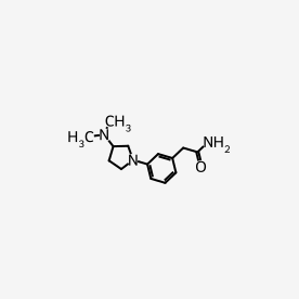 CN(C)C1CCN(c2cccc(CC(N)=O)c2)C1